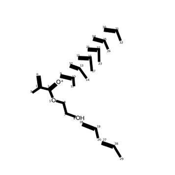 C=C(C)C(=O)OCCO.C=CC.C=CC.C=CC.C=CC.C=CC.C=CC.C=CC.C=CC